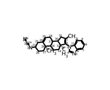 CC1=C(n2cnc3ccccc32)[C@@]2(C)CCC3C(CC=C4CC(N=[N+]=[N-])CC[C@@]43C)C2C1